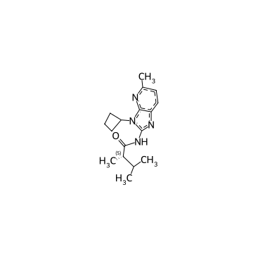 Cc1ccc2nc(NC(=O)[C@@H](C)C(C)C)n(C3CCC3)c2n1